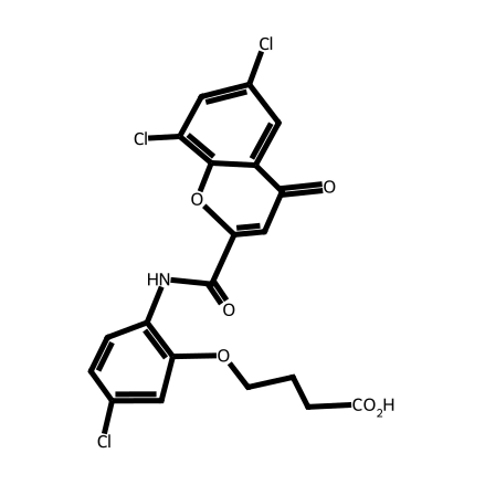 O=C(O)CCCOc1cc(Cl)ccc1NC(=O)c1cc(=O)c2cc(Cl)cc(Cl)c2o1